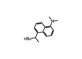 CCCCC(C)c1cccc2c(N(C)C)cccc12